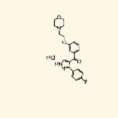 Cl.O=C(c1cccc(OCCN2CCOCC2)c1)c1c[nH]nc1-c1ccc(F)cc1